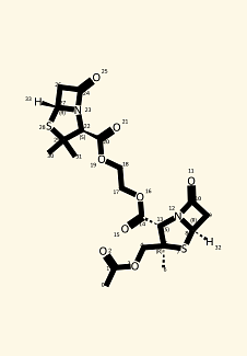 CC(=O)OC[C@]1(C)S[C@@H]2CC(=O)N2[C@H]1C(=O)OCCOC(=O)[C@@H]1N2C(=O)C[C@H]2SC1(C)C